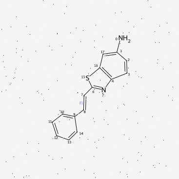 Nc1ccc2nc(/C=C/c3ccccc3)sc2c1